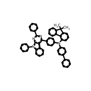 CC1(C)c2ccccc2-c2c(N(c3ccc(-c4ccccc4)cc3)c3ccc(-c4nc(-c5ccccc5)nc5c4c4ccccc4n5-c4ccccc4)cc3)cccc21